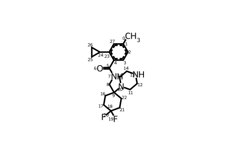 Cc1ccc(C(=O)NCC2(N3CCNCC3)CCC(F)(F)CC2)c(C2CC2)c1